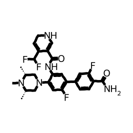 C[C@@H]1CN(c2cc(F)c(-c3ccc(C(N)=O)c(F)c3)cc2NC(=O)C2=CNCC=C2C(F)F)C[C@H](C)N1C